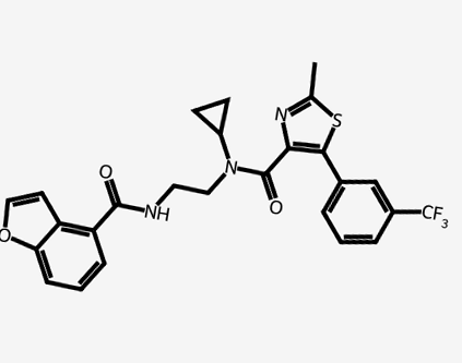 Cc1nc(C(=O)N(CCNC(=O)c2cccc3occc23)C2CC2)c(-c2cccc(C(F)(F)F)c2)s1